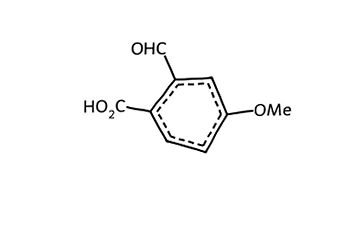 COc1ccc(C(=O)O)c(C=O)c1